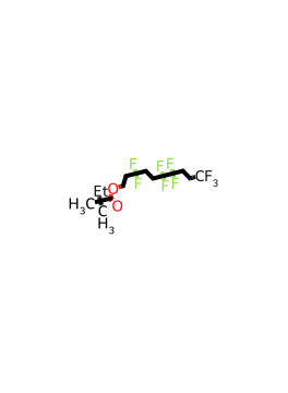 CCC(C)(C)C(=O)OCCC(F)(F)CCC(F)(F)C(F)(F)CCC(F)(F)F